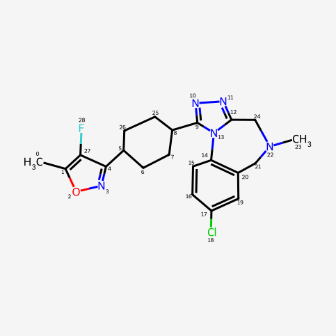 Cc1onc(C2CCC(c3nnc4n3-c3ccc(Cl)cc3CN(C)C4)CC2)c1F